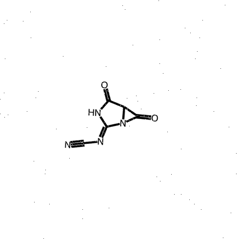 N#C/N=C1\NC(=O)C2C(=O)N12